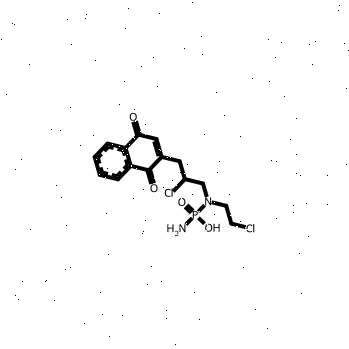 NP(=O)(O)N(CCCl)CC(Cl)CC1=CC(=O)c2ccccc2C1=O